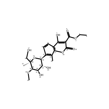 CCOC(=O)c1c(O)c2ccc([C@@H]3O[C@](C)(CO)[C@H](OC)[C@H](O)[C@H]3O)c(C)c2oc1=O